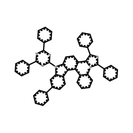 c1ccc(-c2ccc3c4c5c6ccccc6n6c(-c7ccccc7)nc(-c7ccccc7)c6c5ccc4n(-c4nc(-c5ccccc5)nc(-c5ccccc5)n4)c3c2)cc1